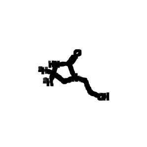 [2H]C1([2H])CN(CCO)C(=O)N1